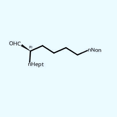 CCCCCCCCCCCCC[C@H](C=O)CCCCCCC